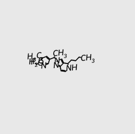 C=C(C)/C=C(\C=N/OCF)C(C)n1cc2c(n1)C=CNC2CCCC